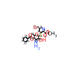 COC(=O)c1ncc(Br)cc1SC1OC2COC(c3ccccc3)OC2C(N)C1O